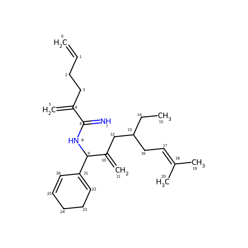 C=CCCC(=C)C(=N)NC(C(=C)CC(CC)CC=C(C)C)C1=CCCC=C1